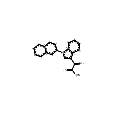 COC(=O)C(=O)c1cn(-c2ccc3ccccc3c2)c2ccccc12